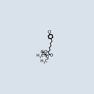 CCOC(=O)C(CCCCCc1ccc(Cl)cc1)OS(C)(=O)=O